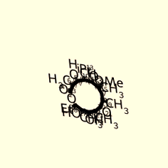 CCC1OC(=O)[C@H](C)[C@H](O)[C@H](C)[C@@H](OC(C)C)[C@@](C)(OC)C[C@@H](C)C(=O)[C@H](C)[C@@H](O)[C@]1(C)O